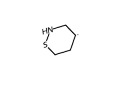 [CH]1CCSNC1